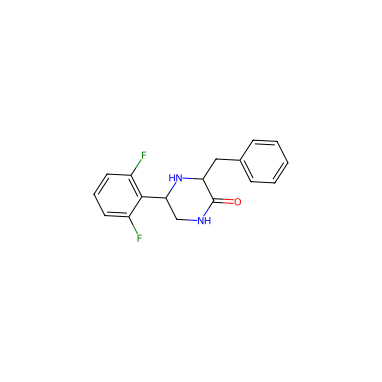 O=C1NCC(c2c(F)cccc2F)NC1Cc1ccccc1